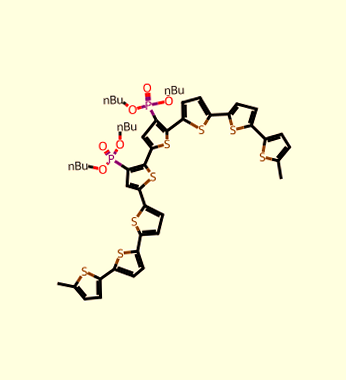 CCCCOP(=O)(OCCCC)c1cc(-c2ccc(-c3ccc(-c4ccc(C)s4)s3)s2)sc1-c1cc(P(=O)(OCCCC)OCCCC)c(-c2ccc(-c3ccc(-c4ccc(C)s4)s3)s2)s1